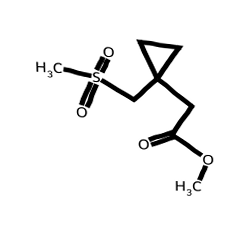 COC(=O)CC1(CS(C)(=O)=O)CC1